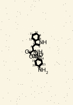 COC(=O)C(Cc1c[nH]c2ccccc12)NS(=O)(=O)c1ccc(N)cc1